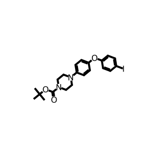 CC(C)(C)OC(=O)N1CCN(c2ccc(Oc3ccc(I)cc3)cc2)CC1